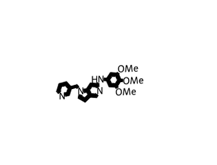 COc1cc(Nc2cc3c(ccn3Cc3cccnc3)cn2)cc(OC)c1OC